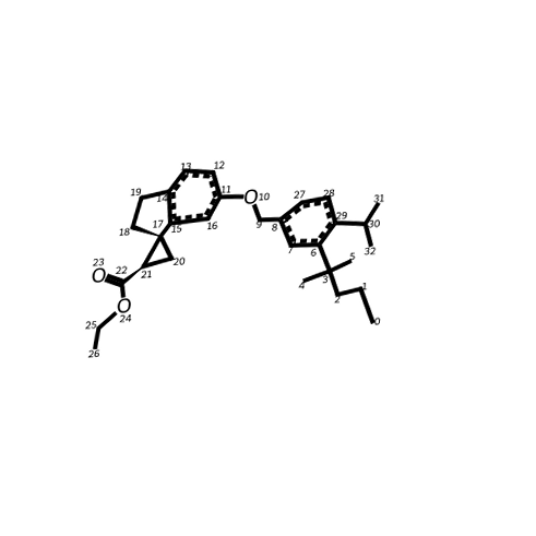 CCCC(C)(C)c1cc(COc2ccc3c(c2)[C@]2(CC3)C[C@H]2C(=O)OCC)ccc1C(C)C